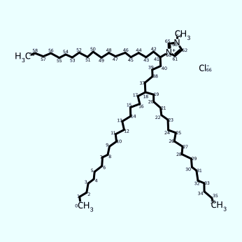 CCCCCCCCCCCCCCCCCCC(CCCCCCCCCCCCCCCCCC)CCCCC(CCCCCCCCCCCCCCCCCC)[n+]1ccn(C)c1.[Cl-]